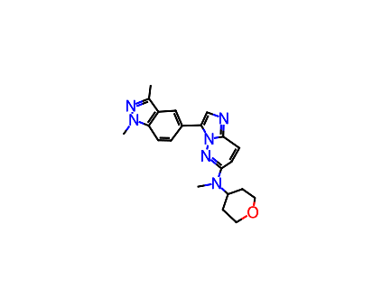 Cc1nn(C)c2ccc(-c3cnc4ccc(N(C)C5CCOCC5)nn34)cc12